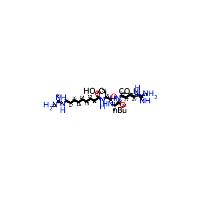 CCCC[C@H](NC(=O)[C@H](CC(=O)O)NC(=O)CCCCCCCCNC(=N)N)C(=O)N[C@@H](CCCNC(=N)N)C(=O)O